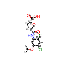 CC(C)Oc1cc(NC(=O)[C@@H]2CC[C@@H](C(=O)O)O2)c(Cl)cc1Cl